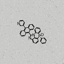 O=P1(c2ccccc2)c2ccccc2-n2c(-c3c4ccccc4c(-c4cccnc4)c4ccccc34)nc3cccc1c32